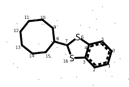 c1ccc2c(c1)SC([C]1CCCCCCC1)S2